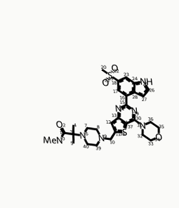 CNC(=O)C(C)(C)N1CCN(Cc2cc3nc(-c4cc(S(C)(=O)=O)cc5[nH]ccc45)nc(N4CCOCC4)c3s2)CC1